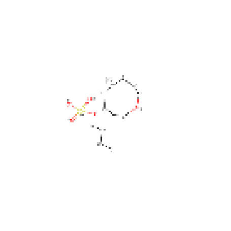 C1CCCCOCCC1.CCCCOS(=O)(=O)[O-].[Li+]